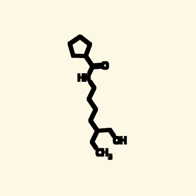 CCC(CO)CCCCNC(=O)C1CCCC1